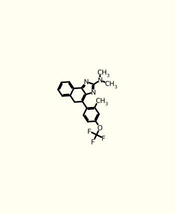 Cc1cc(OC(F)(F)F)ccc1C1=C2N=C(N(C)C)N=C2c2ccccc2C1